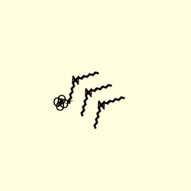 CCCCCCCC[N+](C)(C)CCCCCCCC.CCCCCCCC[N+](C)(C)CCCCCCCC.CCCCCCCC[N+](C)(C)CCCCCCCC.O=P([O-])([O-])[O-]